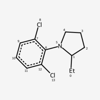 CCC1CCCN1c1c(Cl)cccc1Cl